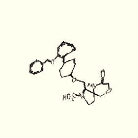 O=C1COCC2(CCN(C(=O)O)C2COC2CCC(c3ccccc3OCc3ccccc3)CC2)N1